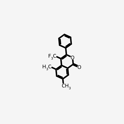 Cc1cc(C)c2c(C(F)(F)F)c(-c3ccccc3)oc(=O)c2c1